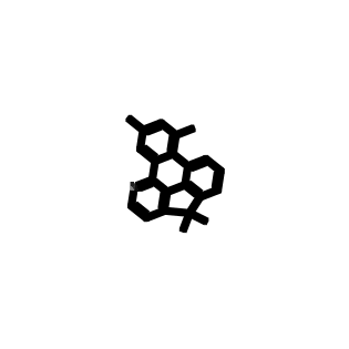 Cc1cc(C)c2c(c1)c1nccc3c1c1c(cccc21)C3(C)C